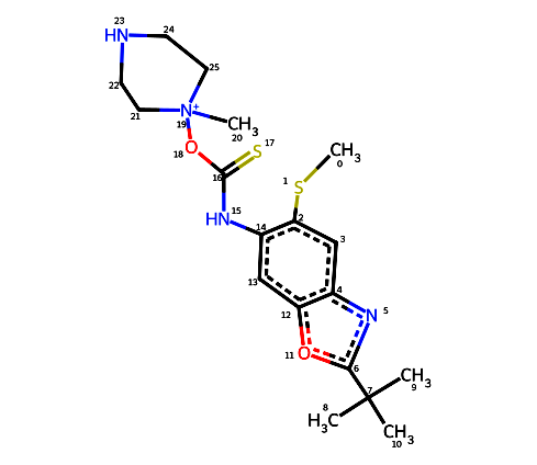 CSc1cc2nc(C(C)(C)C)oc2cc1NC(=S)O[N+]1(C)CCNCC1